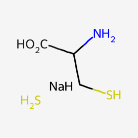 NC(CS)C(=O)O.S.[NaH]